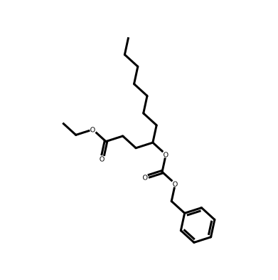 CCCCCCCC(CCC(=O)OCC)OC(=O)OCc1ccccc1